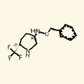 FC(F)(F)[C@@H]1CC[C@@H](NOCc2ccccc2)CN1